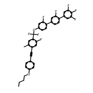 CCCCOc1ccc(C#Cc2cc(F)c(C(F)(F)Oc3ccc(-c4ccc(-c5cc(F)c(F)c(F)c5)c(F)c4)c(F)c3)cc2C)cc1